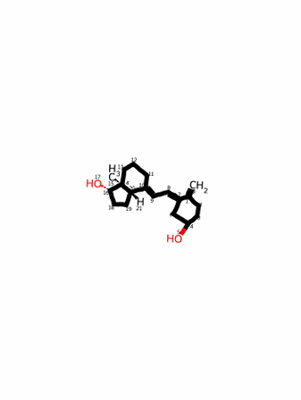 C=C1CCC(O)CC1=CC=C1CCC[C@]2(C)[C@@H](O)CC[C@@H]12